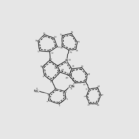 N#Cc1cccc(C#N)c1-c1ccc(-c2ccccc2)c2c1c1cc(-c3ccccc3)ccc1n2-c1ccccc1